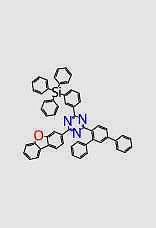 c1ccc(-c2ccc(-c3nc(-c4cccc([Si](c5ccccc5)(c5ccccc5)c5ccccc5)c4)nc(-c4ccc5c(c4)oc4ccccc45)n3)c(-c3ccccc3)c2)cc1